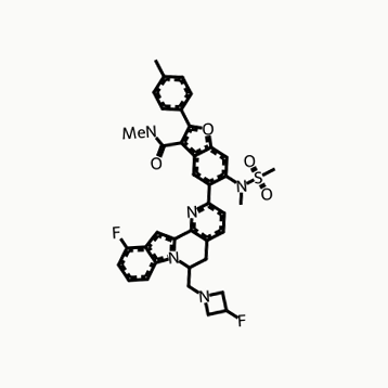 CNC(=O)c1c(-c2ccc(C)cc2)oc2cc(N(C)S(C)(=O)=O)c(-c3ccc4c(n3)-c3cc5c(F)cccc5n3C(CN3CC(F)C3)C4)cc12